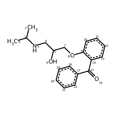 CC(C)NCC(O)COc1ccccc1C(=O)c1ccccc1